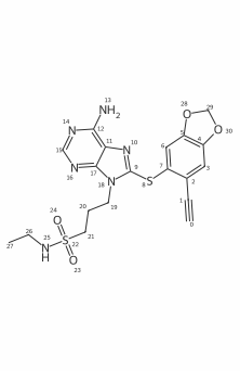 C#Cc1cc2c(cc1Sc1nc3c(N)ncnc3n1CCCS(=O)(=O)NCC)OCO2